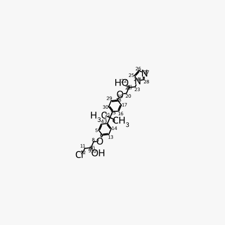 CC(C)(c1ccc(OC[C@@H](O)CCl)cc1)c1ccc(OC[C@H](O)Cn2ccnc2)cc1